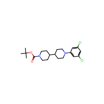 CC(C)(C)OC(=O)N1CCC(C2CCN(c3cc(Cl)cc(Cl)c3)CC2)CC1